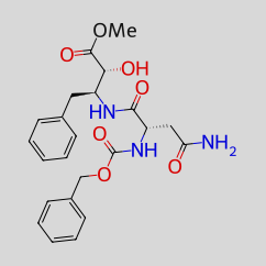 COC(=O)[C@H](O)[C@H](Cc1ccccc1)NC(=O)[C@H](CC(N)=O)NC(=O)OCc1ccccc1